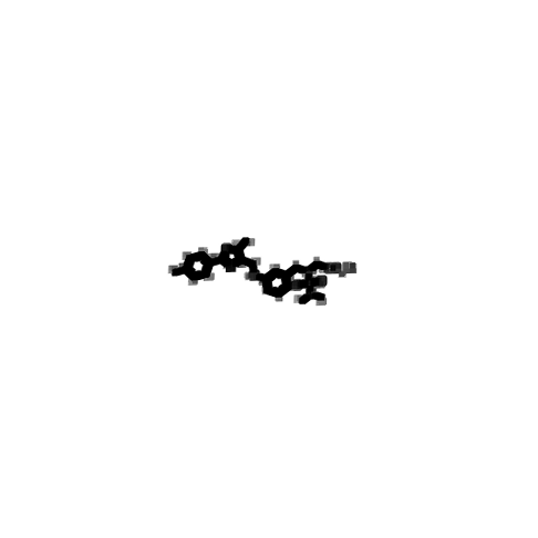 CCOC(=O)CN(Cc1cccc(OCc2nc(-c3ccc(C)cc3)oc2C)c1)S(=O)(=O)N(C)C